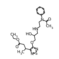 CCOC(=O)CC(C)c1nsnc1OCC(O)CNCCN(C(C)=O)c1ccccc1